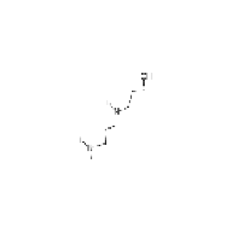 CN(I)CCCN(I)CCCO